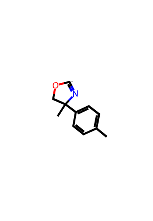 Cc1ccc(C2(C)CO[C]=N2)cc1